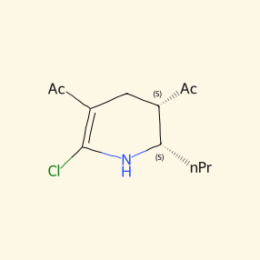 CCC[C@@H]1NC(Cl)=C(C(C)=O)C[C@@H]1C(C)=O